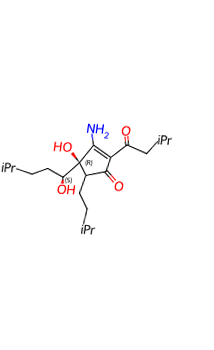 CC(C)CCC1C(=O)C(C(=O)CC(C)C)=C(N)[C@@]1(O)[C@@H](O)CCC(C)C